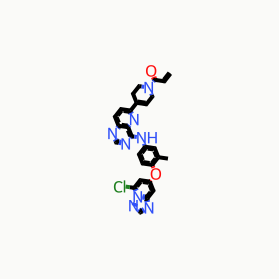 C=CC(=O)N1CC=C(c2ccc3ncnc(Nc4ccc(Oc5cc(Cl)n6ncnc6c5)c(C)c4)c3n2)CC1